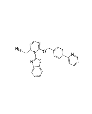 N#CCC1C=CN=C(OCc2ccc(-c3ccccn3)cc2)N1c1nc2ccccc2s1